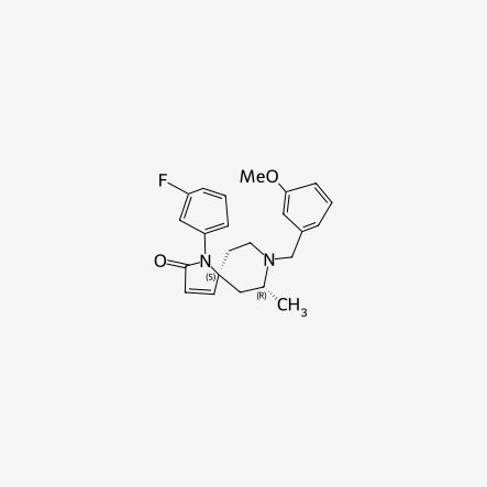 COc1cccc(CN2CC[C@@]3(C=CC(=O)N3c3cccc(F)c3)C[C@H]2C)c1